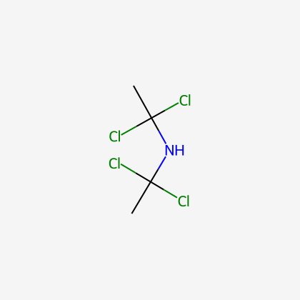 CC(Cl)(Cl)NC(C)(Cl)Cl